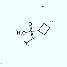 CC(C)N=S(C)(=O)C1CCC1